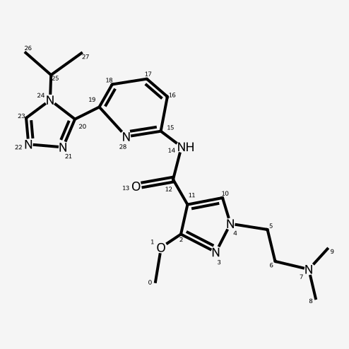 COc1nn(CCN(C)C)cc1C(=O)Nc1cccc(-c2nncn2C(C)C)n1